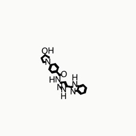 O=C(Nc1cc(-c2nc3ccccc3[nH]2)[nH]n1)c1ccc(N2CC[C@@H](O)C2)cc1